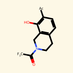 CC(=O)c1ccc2c(c1O)CN(C(=O)C(F)(F)F)CC2